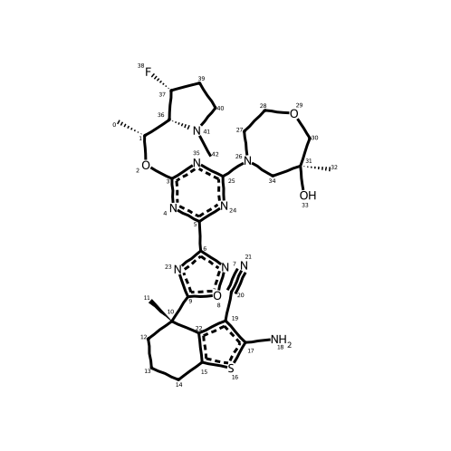 C[C@@H](Oc1nc(-c2noc([C@@]3(C)CCCc4sc(N)c(C#N)c43)n2)nc(N2CCOC[C@@](C)(O)C2)n1)[C@@H]1[C@H](F)CCN1C